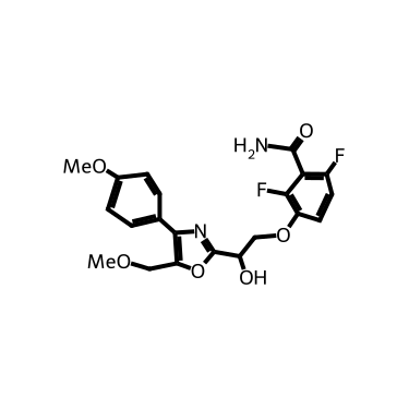 COCc1oc(C(O)COc2ccc(F)c(C(N)=O)c2F)nc1-c1ccc(OC)cc1